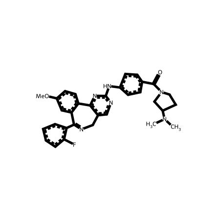 COc1ccc2c(c1)C(c1ccccc1F)=NCc1cnc(Nc3ccc(C(=O)N4CCC(N(C)C)C4)cc3)nc1-2